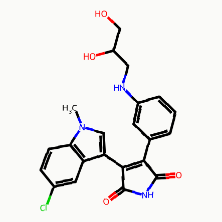 Cn1cc(C2=C(c3cccc(NCC(O)CO)c3)C(=O)NC2=O)c2cc(Cl)ccc21